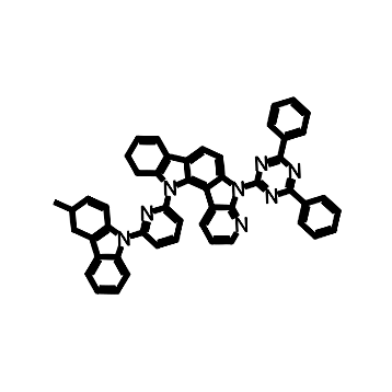 CC1C=Cc2c(c3ccccc3n2-c2cccc(-n3c4c(c5ccc6c(c7cccnc7n6-c6nc(-c7ccccc7)nc(-c7ccccc7)n6)c53)C=CCC4)n2)C1